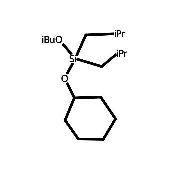 CC(C)CO[Si](CC(C)C)(CC(C)C)OC1CCCCC1